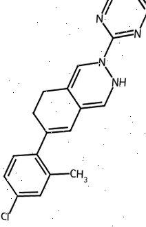 Cc1cc(Cl)ccc1C1=CC2=CNN(c3ncccn3)C=C2CC1